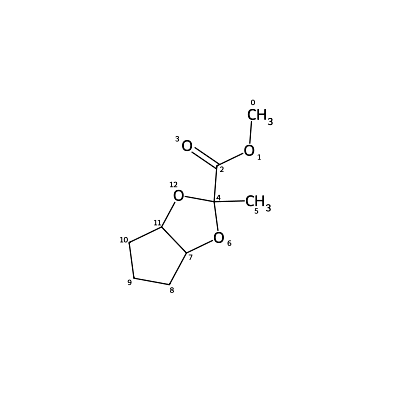 COC(=O)C1(C)OC2CCCC2O1